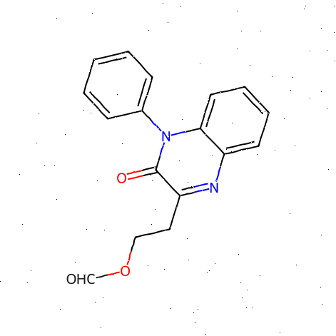 O=COCCc1nc2ccccc2n(-c2ccccc2)c1=O